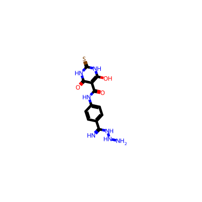 N=C(NNN)c1ccc(NC(=O)c2c(O)[nH]c(=S)[nH]c2=O)cc1